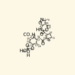 Cc1noc(NS(=O)(=O)c2ccsc2C(=O)Cc2c(C(=O)O)cc3c(c2C)OC(O)(O)O3)c1Cl